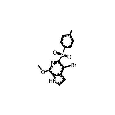 COc1nc(S(=O)(=O)c2ccc(C)cc2)c(Br)c2cc[nH]c12